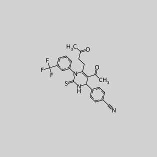 CC(=O)CCC1=C(C(C)=O)C(c2ccc(C#N)cc2)NC(=S)N1c1cccc(C(F)(F)F)c1